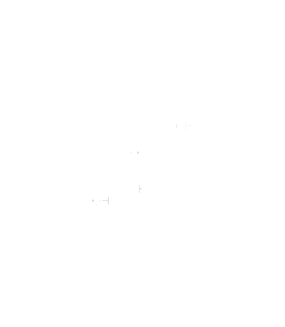 OCCO[CH]([K])CO